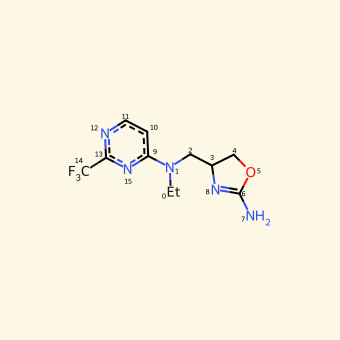 CCN(CC1COC(N)=N1)c1ccnc(C(F)(F)F)n1